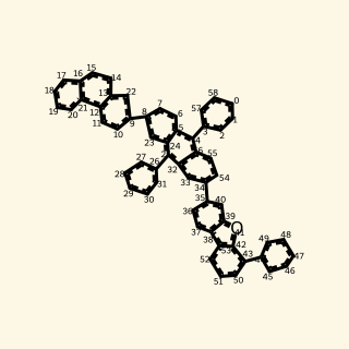 c1ccc(-c2c3ccc(-c4ccc5c(ccc6ccccc65)c4)cc3c(-c3ccccc3)c3cc(-c4ccc5c(c4)oc4c(-c6ccccc6)cccc45)ccc23)cc1